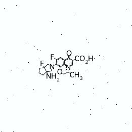 CC1COc2c(N3C[C@]4(N)CCC[C@]4(F)C3)c(F)cc3c(=O)c(C(=O)O)cn1c23